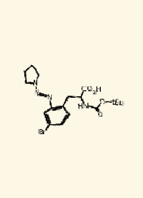 CC(C)(C)OC(=O)NC(Cc1ccc(Br)cc1N=NN1CCCC1)C(=O)O